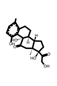 Cc1ccc(O)c2c1CC[C@H]1[C@@H]3CC[C@](O)(C(=O)CO)[C@@]3(C)CC(=O)[C@@]21O